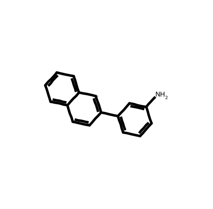 Nc1cccc(-c2[c]c3ccccc3cc2)c1